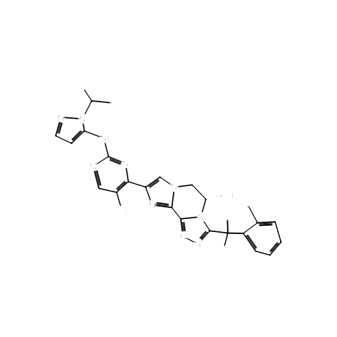 Cc1cnc(Nc2ccnn2C(F)F)nc1-c1cn2c(n1)-c1nnc(C(F)(F)c3ccccc3Cl)n1[C@@H](C)C2